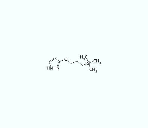 C[Si](C)(C)CCCOc1cc[nH]n1